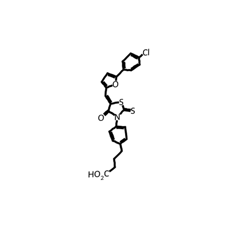 O=C(O)CCCc1ccc(N2C(=O)C(=Cc3ccc(-c4ccc(Cl)cc4)o3)SC2=S)cc1